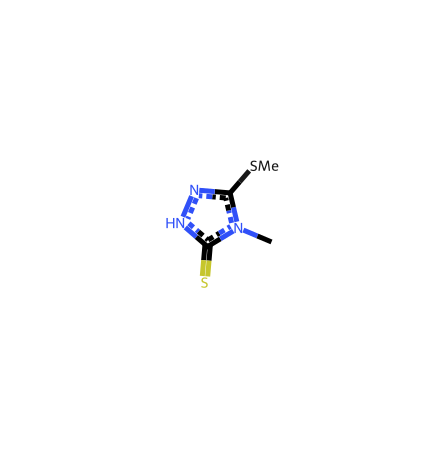 CSc1n[nH]c(=S)n1C